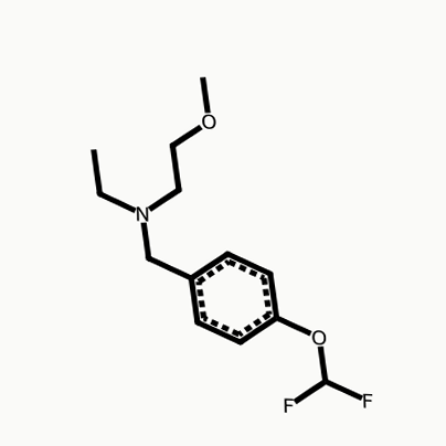 CCN(CCOC)Cc1ccc(OC(F)F)cc1